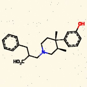 C[C@H]1CN(CC(Cc2ccccc2)C(=O)O)CC[C@]1(C)c1cccc(O)c1